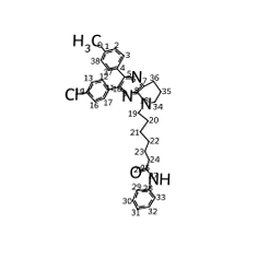 Cc1ccc(-c2nc3c(nc2-c2ccc(Cl)cc2)N(CCCCCCC(=O)Nc2ccccc2)CCC3)cc1